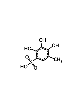 Cc1cc(S(=O)(=O)O)c(O)c(O)c1O